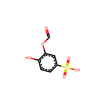 O=COc1cc(S(=O)(=O)O)ccc1O